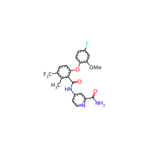 COc1cc(F)ccc1Oc1ccc(C(F)(F)F)c(C)c1C(=O)Nc1ccnc(C(N)=O)c1